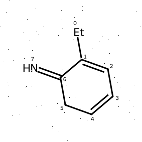 CCC1=CC=CCC1=N